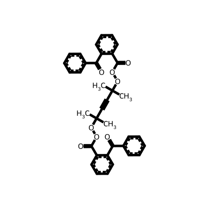 CC(C)(C#CC(C)(C)OOC(=O)c1ccccc1C(=O)c1ccccc1)OOC(=O)c1ccccc1C(=O)c1ccccc1